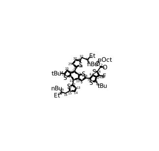 CCCCCCCCOC(=O)c1sc2c(-c3cc4c(-c5ccc(CC(CC)CCCC)s5)c5sc(C(C)(C)C)cc5c(-c5ccc(CC(CC)CCCC)s5)c4s3)sc(C(C)(C)C)c2c1F